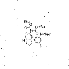 CC(C)(C)OC(=O)N(C(=O)OC(C)(C)C)C1=N[C@@]2(c3cc(F)cc(N=[N+]=[N-])c3)CCC[C@H]2CS1